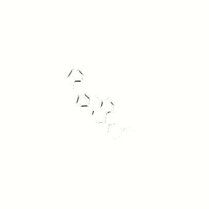 C[C](C)CN1CCC[C@@H](C(N)c2ncnc(N)c2C(=O)c2ccc(Oc3ccccc3)cc2)C1